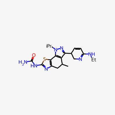 CCNC1=NCC(c2nn(C(C)C)c3c2C(C)Cc2nc(NC(N)=O)sc2-3)C=C1